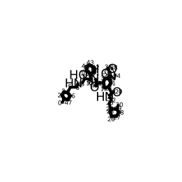 Cc1ccc(CCNC[C@@H](O)[C@@](C)(NC(=O)c2cc(C(=O)NCCc3ccccc3C)cc(N(C)S(C)(=O)=O)c2)c2ccccc2)cc1